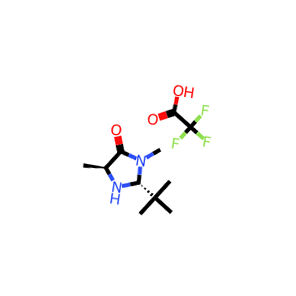 C[C@@H]1N[C@@H](C(C)(C)C)N(C)C1=O.O=C(O)C(F)(F)F